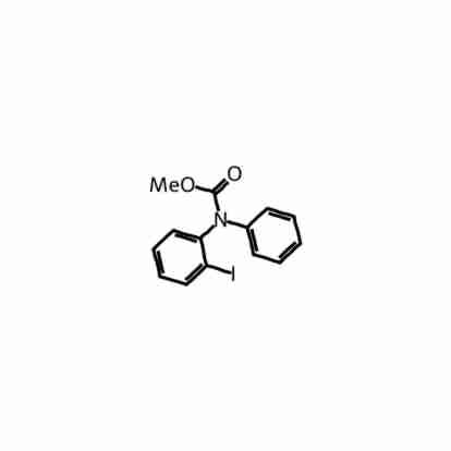 [CH2]OC(=O)N(c1ccccc1)c1ccccc1I